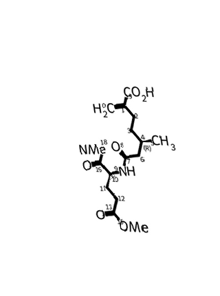 C=C(CC[C@@H](C)CC(=O)N[C@@H](CCC(=O)OC)C(=O)NC)C(=O)O